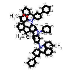 Cc1ccc(N(c2ccc(-c3ccccc3)cc2-c2ccccc2)c2cc3c(c4c2-c2ccccc2C4(C)C)c2ccc(N(c4ccc(C(F)(F)F)cc4)c4ccc(-c5ccccc5)cc4-c4ccccc4)cc2n3-c2ccccc2)cc1